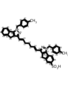 Cc1ccc(Cn2nc(/C=C/CCC/C=C/c3nn(Cc4ccc(C)cc4)c4c3Cc3cc(S(=O)(=O)O)ccc3-4)c3c2-c2ccccc2C3)cc1